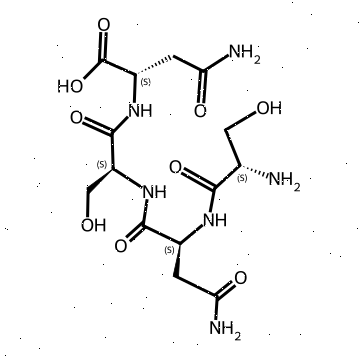 NC(=O)C[C@H](NC(=O)[C@H](CO)NC(=O)[C@H](CC(N)=O)NC(=O)[C@@H](N)CO)C(=O)O